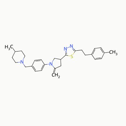 C=C1CC(c2nnc(CCc3ccc(C)cc3)s2)CN1c1ccc(CN2CCC(C)CC2)cc1